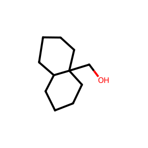 OCC12CCCCC1CCCC2